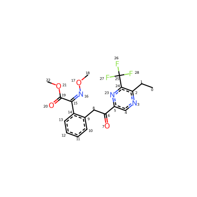 CCc1ncc(C(=O)Cc2ccccc2C(=NOC)C(=O)OC)nc1C(F)(F)F